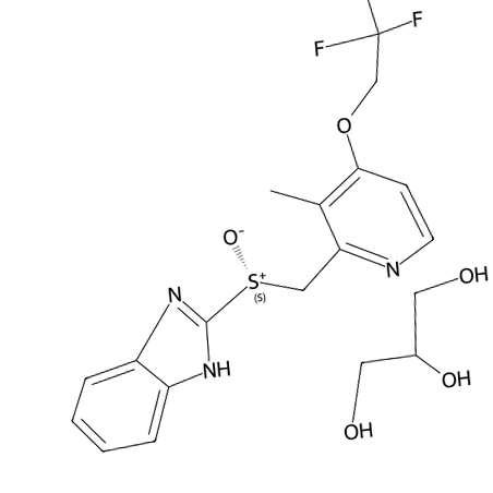 Cc1c(OCC(F)(F)F)ccnc1C[S@@+]([O-])c1nc2ccccc2[nH]1.OCC(O)CO